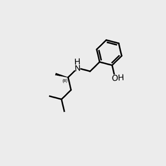 CC(C)C[C@@H](C)NCc1ccccc1O